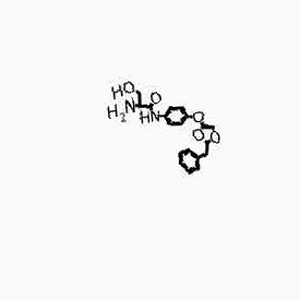 C[C@](N)(CO)C(=O)Nc1ccc(OC2=COC(Cc3ccccc3)O2)cc1